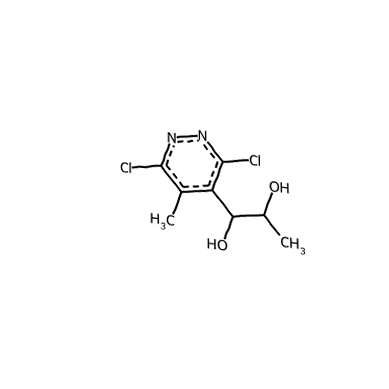 Cc1c(Cl)nnc(Cl)c1C(O)C(C)O